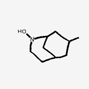 CC1CC2CCN(O)C(C1)C2